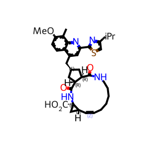 COc1ccc2c(C[C@H]3C[C@H]4C(=O)NCCCCC/C=C\[C@@H]5C[C@@]5(C(=O)O)NC(=O)[C@@H]4C3)cc(-c3nc(C(C)C)cs3)nc2c1C